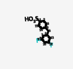 O=S(=O)(O)c1ccc(Cc2cc(F)cc(F)c2)cc1